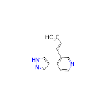 O=C(O)C=Cc1cnccc1-c1cn[nH]c1